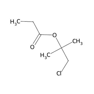 CCC(=O)OC(C)(C)CCl